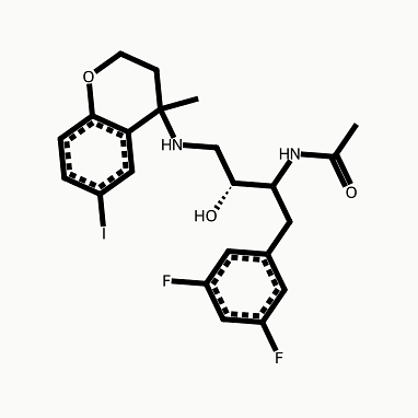 CC(=O)NC(Cc1cc(F)cc(F)c1)[C@H](O)CNC1(C)CCOc2ccc(I)cc21